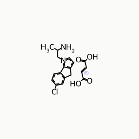 CC(N)Cn1ccc2c1-c1ccc(Cl)cc1C2.O=C(O)/C=C/C(=O)O